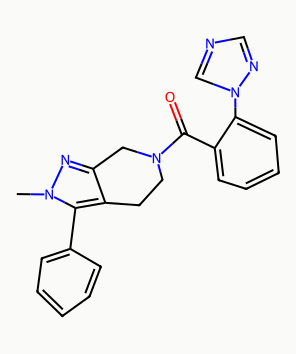 Cn1nc2c(c1-c1ccccc1)CCN(C(=O)c1ccccc1-n1cncn1)C2